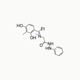 CC/C(=N\CC(=O)NNc1ccccc1)c1ccc(O)c(C)c1O